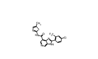 Cc1cnc(NC(=O)c2cncc3[nH]c(-c4ccc(Cl)cc4C(F)(F)F)nc23)s1